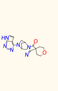 N#CC1(C(=O)N2CC3CC2CN3c2ncnc3[nH]ccc23)CCOCC1